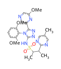 COc1cncc(-c2nnc(NS(=O)(=O)C(C)C(C)c3ncc(C)cn3)n2-c2c(OC)cccc2OC)n1